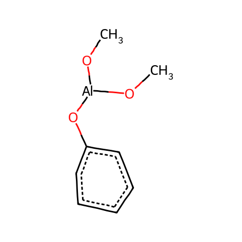 C[O][Al]([O]C)[O]c1ccccc1